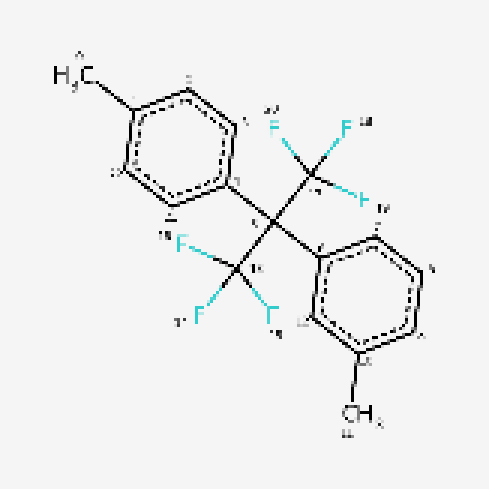 Cc1ccc(C(c2cccc(C)c2)(C(F)(F)F)C(F)(F)F)cc1